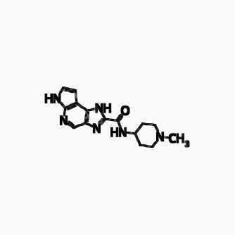 CN1CCC(NC(=O)c2nc3cnc4[nH]ccc4c3[nH]2)CC1